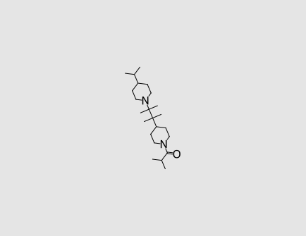 CC(C)C(=O)N1CCC(C(C)(C)C(C)(C)N2CCC(C(C)C)CC2)CC1